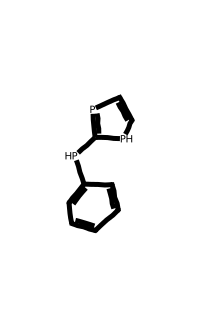 c1ccc(Pc2pcc[pH]2)cc1